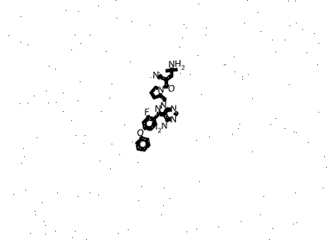 CC(C)(N)C=C(C#N)C(=O)N1CCCC1Cn1nc(-c2ccc(Oc3ccccc3)cc2F)c2c(N)ncnc21